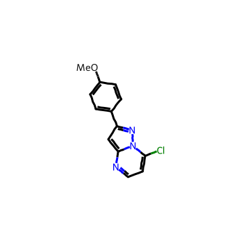 COc1ccc(-c2cc3nccc(Cl)n3n2)cc1